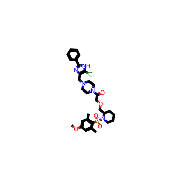 COc1cc(C)c(S(=O)(=O)N2CCCCC2COCC(=O)N2CCN(Cc3nc(-c4ccccc4)[nH]c3Cl)CC2)c(C)c1